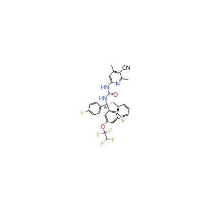 Cc1cc(NC(=O)N[C@](Cc2ccccc2)(c2ccc(F)cc2)c2cc(F)cc(OC(F)(F)C(F)F)c2)nc(C)c1C#N